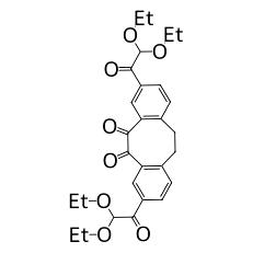 CCOC(OCC)C(=O)c1ccc2c(c1)C(=O)C(=O)c1cc(C(=O)C(OCC)OCC)ccc1CC2